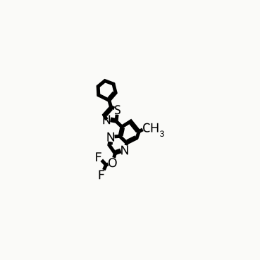 Cc1cc(-c2ncc(C3=CCCCC3)s2)c2ncc(OC(F)F)nc2c1